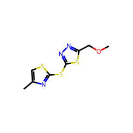 COCc1nnc(Sc2nc(C)cs2)s1